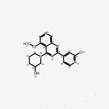 COc1cncc2nc(-c3ccnc(Cl)c3)nc(N3CCCC(O)C3)c12